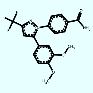 COc1ccc(-c2cc(C(F)(F)F)nn2-c2ccc(C(N)=O)cc2)cc1OC